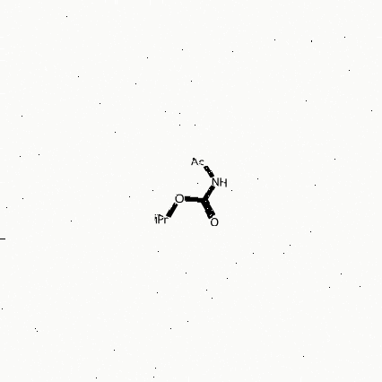 CC(=O)NC(=O)OC(C)C